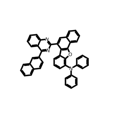 c1ccc(N(c2ccccc2)c2cccc3c2oc2c4ccccc4cc(-c4nc(-c5ccc6ccccc6c5)c5ccccc5n4)c32)cc1